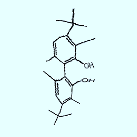 Cc1cc(C(C)(C)C)c(C)c(O)c1-c1c(C)cc(C(C)(C)C)c(C)c1O